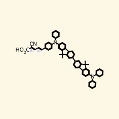 CC1(C)c2cc(-c3ccc4c(c3)C(C)(C)c3cc(N(c5ccccc5)c5ccc(/C=C/C=C(\C#N)C(=O)O)cc5)ccc3-4)ccc2-c2ccc(N(c3ccccc3)c3ccccc3)cc21